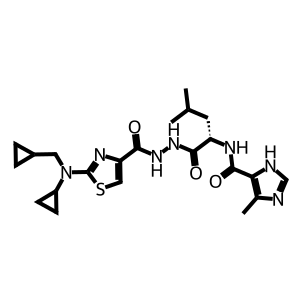 Cc1nc[nH]c1C(=O)N[C@@H](CC(C)C)C(=O)NNC(=O)c1csc(N(CC2CC2)C2CC2)n1